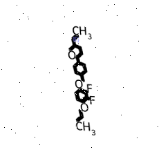 C/C=C/C1CCC(C2CCC(COc3ccc(OCCCC)c(F)c3F)CC2)OC1